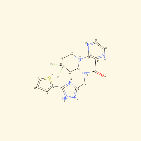 O=C(NCc1n[nH]c(-c2cccs2)n1)c1nccnc1N1CCC(F)(F)CC1